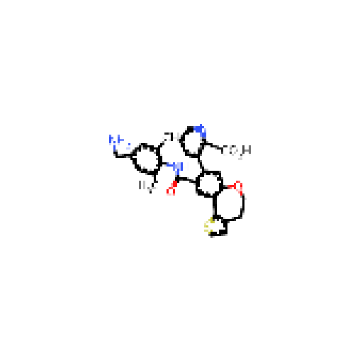 Cc1cc(CN)cc(C)c1NC(=O)c1cc2c(cc1-c1cccnc1C(=O)O)OCCc1ccsc1-2